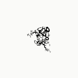 CC(=O)N[C@@H](CCCCN)C(=O)N[C@@H](CSCC(=O)N(CCCN)[C@@H](c1cc(-c2cc(F)ccc2F)cn1Cc1ccccc1)C(C)(C)C)C(=O)O